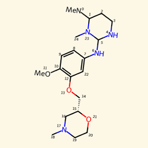 CNC1CCNC(Nc2ccc(OC)c(OC[C@H]3CN(C)CCO3)c2)N1C